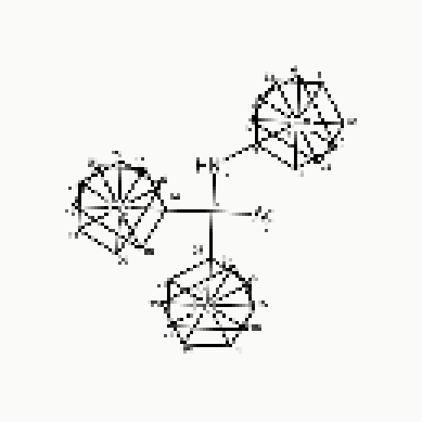 CC(=O)C(N[C]12[CH]3[CH]4[CH]5[CH]1[Fe]45321678[CH]2[CH]1[CH]6[CH]7[CH]28)([C]12[CH]3[CH]4[CH]5[CH]1[Fe]45321678[CH]2[CH]1[CH]6[CH]7[CH]28)[C]12[CH]3[CH]4[CH]5[CH]1[Fe]45321678[CH]2[CH]1[CH]6[CH]7[CH]28